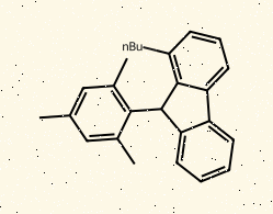 CCCCc1cccc2c1C(c1c(C)cc(C)cc1C)c1ccccc1-2